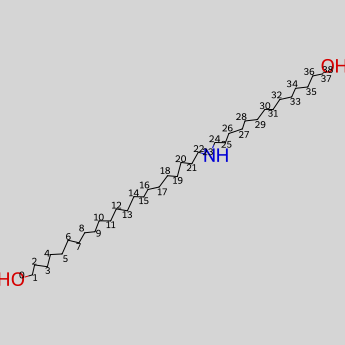 OCCCCCCCCCCCCCCCCCCCCCCNCCCCCCCCCCCCCCO